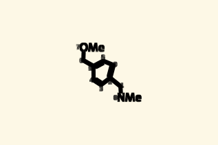 CNCc1ccc(COC)cc1